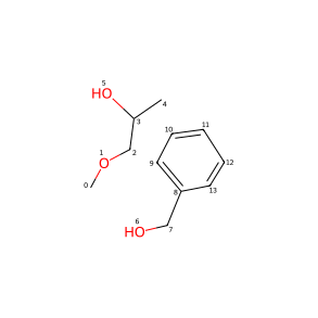 COCC(C)O.OCc1ccccc1